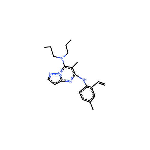 C=Cc1cc(C)ccc1Nc1nc2ccnn2c(N(CCC)CCC)c1C